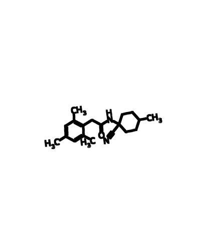 Cc1cc(C)c(CC(=O)NC2(C#N)CCC(C)CC2)c(C)c1